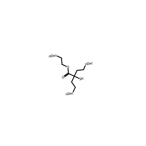 CCCCCCCCCCCCOC(=O)C(S)(CCCCCCCCCCCC)CCCCCCCCCCCC